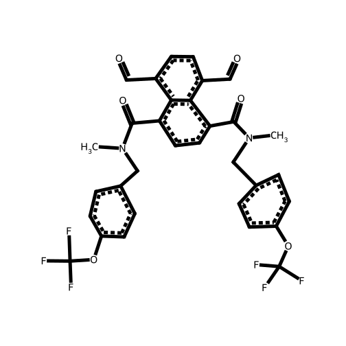 CN(Cc1ccc(OC(F)(F)F)cc1)C(=O)c1ccc(C(=O)N(C)Cc2ccc(OC(F)(F)F)cc2)c2c(C=O)ccc(C=O)c12